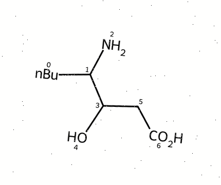 CCCCC(N)C(O)CC(=O)O